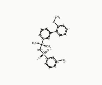 COc1cnccc1-c1cccc(C(C)(C)NS(=O)(=O)c2cccc(C)c2)c1